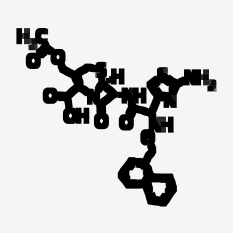 CC(=O)OCC1=C(C(=O)O)N2C(=O)[C@@H](NC(=O)C(NOCc3cccc4ccccc34)c3csc(N)n3)[C@@H]2SC1